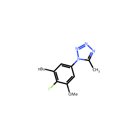 CCCCc1cc(-n2nnnc2C)cc(OC)c1F